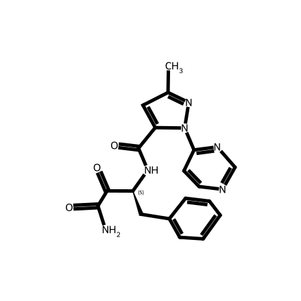 Cc1cc(C(=O)N[C@@H](Cc2ccccc2)C(=O)C(N)=O)n(-c2ccncn2)n1